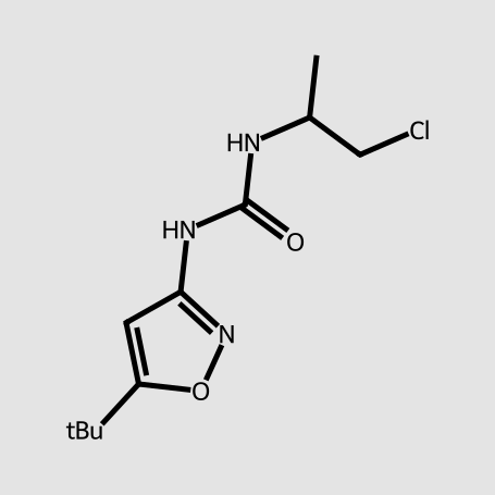 CC(CCl)NC(=O)Nc1cc(C(C)(C)C)on1